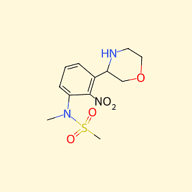 CN(c1cccc(C2COCCN2)c1[N+](=O)[O-])S(C)(=O)=O